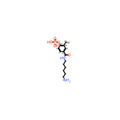 NCCCCCCNC(=O)c1ccc(OP(=O)(O)O)c(CF)c1